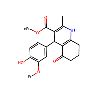 CCCOC(=O)C1=C(C)NC2=C(C(=O)CCC2)C1c1ccc(O)c(OCC)c1